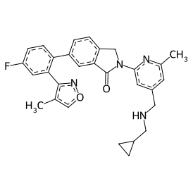 Cc1cc(CNCC2CC2)cc(N2Cc3ccc(-c4ccc(F)cc4-c4nocc4C)cc3C2=O)n1